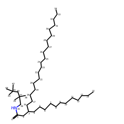 C=C(CC(CCCCCCCCCCCC)CCCCCCCCCCCCCCCCCCC)NCC(C)(C)CC(C)(C)C